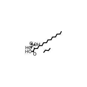 CCCC.CCCCCCCCCCCCC(C(=O)O)P(=O)(O)O